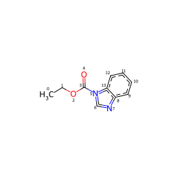 CCOC(=O)n1cnc2ccccc21